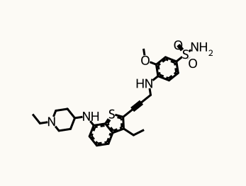 CCc1c(C#CCNc2ccc(S(N)(=O)=O)cc2OC)sc2c(NC3CCN(CC)CC3)cccc12